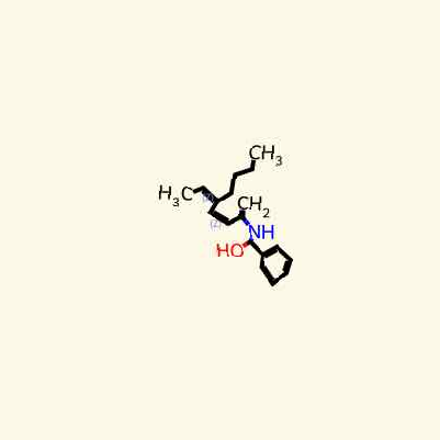 C=C(/C=C\C(=C/C)CCCC)NC(O)c1ccccc1